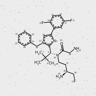 CC(C)(C)[C@H](c1nc(-c2cc(F)ccc2F)cn1Cc1ccccc1)N(CC[C@H](N)CF)C(=O)CN